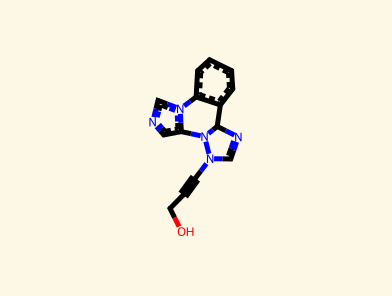 OCC#CN1C=NC2c3ccccc3-n3cncc3N21